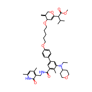 C=C1COC(C(C(=O)OC)C(C)C)=CC1OCCCCCOc1ccc(-c2cc(C(=O)NCc3c(C)cc(C)[nH]c3=O)c(C)c(N(CC)C3CCOCC3)c2)cc1